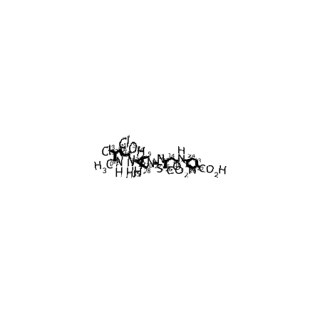 Cc1[nH]c(C(=O)NC2[C@H]3CN(c4nc(CC(=O)Nc5ccc(C(=O)O)cc5)c(C(=O)O)s4)C[C@@H]23)c(Cl)c1Cl